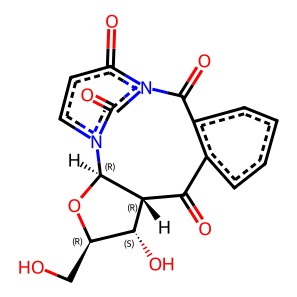 O=C1c2ccccc2C(=O)n2c(=O)ccn(c2=O)[C@@H]2O[C@H](CO)[C@@H](O)[C@@H]12